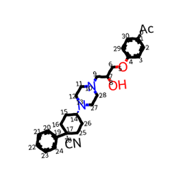 CC(=O)c1ccc(OCC(O)CN2CCN([C@H]3CC[C@](C#N)(c4ccccc4)CC3)CC2)cc1